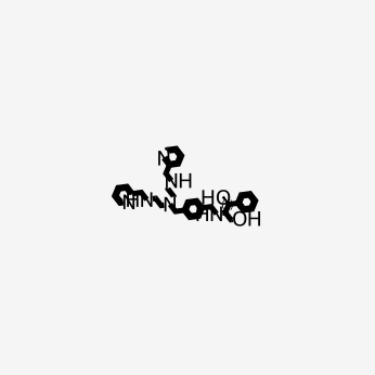 OCC(NCc1ccc(CN(CCNCc2ccccn2)CCNCc2ccccn2)cc1)[C@@H](O)c1ccccc1